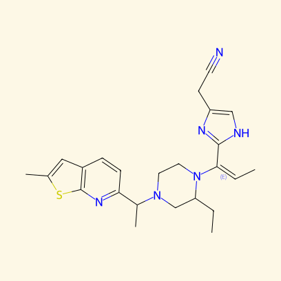 C/C=C(\c1nc(CC#N)c[nH]1)N1CCN(C(C)c2ccc3cc(C)sc3n2)CC1CC